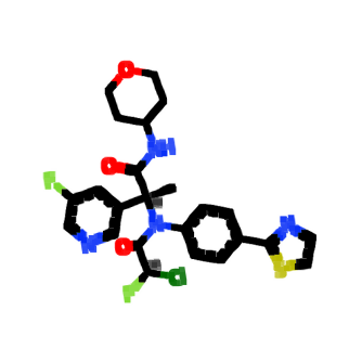 C[C@](C(=O)NC1CCOCC1)(c1cncc(F)c1)N(C(=O)[C@H](F)Cl)c1ccc(-c2nccs2)cc1